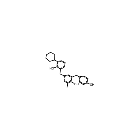 Cc1cc(Cc2cccc(C3CCCCC3)c2O)cc(Cc2ccc(O)cc2)c1O